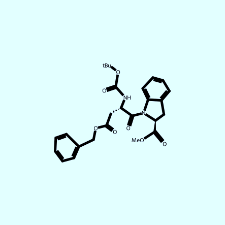 COC(=O)[C@@H]1Cc2ccccc2N1C(=O)[C@H](CC(=O)OCc1ccccc1)NC(=O)OC(C)(C)C